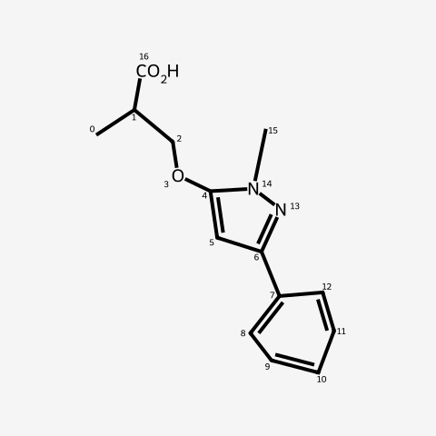 CC(COc1cc(-c2ccccc2)nn1C)C(=O)O